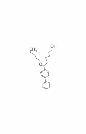 CCCCCOC(CCCCCO)c1ccc(-c2ccccc2)cc1